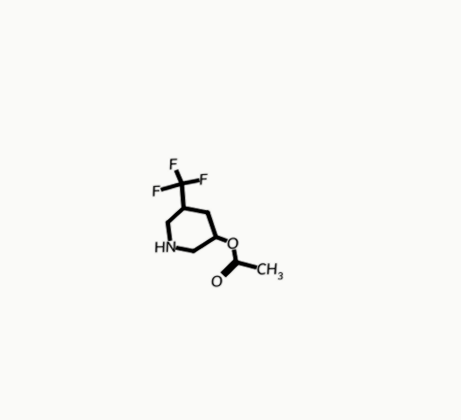 CC(=O)OC1CNCC(C(F)(F)F)C1